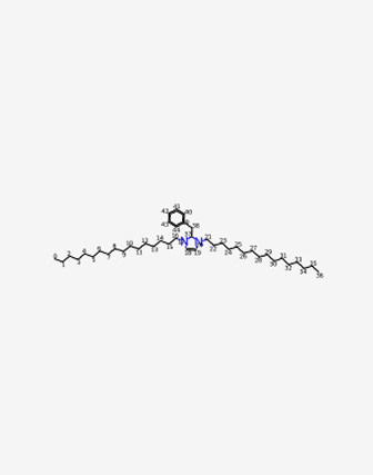 CCCCCCCCCCCCCCCCCN1C=CN(CCCCCCCCCCCCCCCC)C1Cc1ccccc1